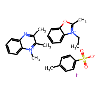 CC[n+]1c(C)oc2ccccc21.Cc1ccc(S(=O)(=O)[O-])cc1.Cc1nc2ccccc2[n+](C)c1C.[I-]